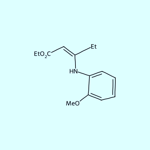 CCOC(=O)/C=C(/CC)Nc1ccccc1OC